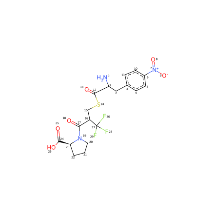 NC(Cc1ccc([N+](=O)[O-])cc1)C(=O)SCC(C(=O)N1CCC[C@H]1C(=O)O)C(F)(F)F